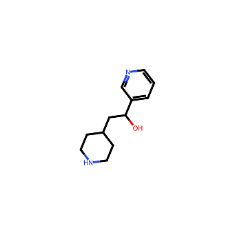 OC(CC1CCNCC1)c1cccnc1